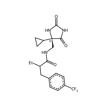 CCC(Cc1ccc(C(F)(F)F)cc1)C(=O)NC[C@@]1(C2CC2)NC(=O)NC1=O